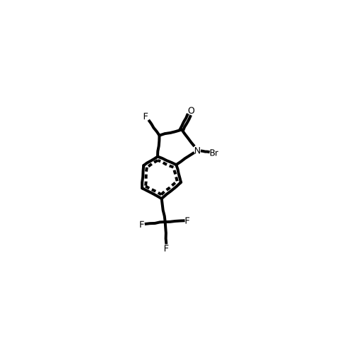 O=C1C(F)c2ccc(C(F)(F)F)cc2N1Br